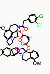 COc1cccc2c1CCN(C(=O)Cc1ccc(Cl)c(Cl)c1)C2(CN1CCCC1)OC(=O)/C=C\C(=O)OC1(CN2CCCC2)c2cccc(OC)c2CCN1C(=O)Cc1ccc(Cl)c(Cl)c1